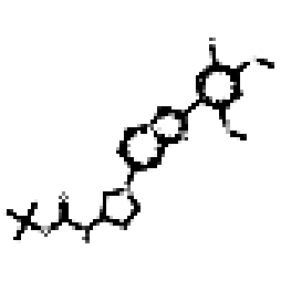 COc1cc(OC)c(-c2cn3ccc(N4CCC(NC(=O)OC(C)(C)C)C4)cc3n2)cc1Cl